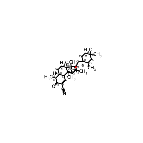 CC(=O)/C=C1/[C@@]2(C)C=C(C#N)C(=O)[C@@H](C)[C@@H]2CC[C@@]1(C)C(C)(C)CC[C@@]1(F)CCC(C)(C)CC1C